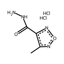 Cc1nonc1C(=O)NN.Cl.Cl